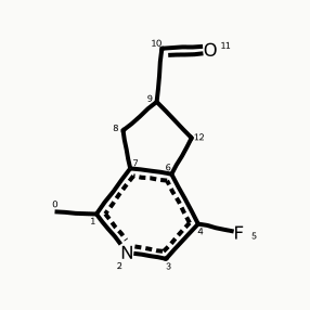 Cc1ncc(F)c2c1CC(C=O)C2